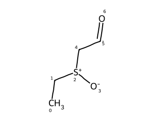 CC[S+]([O-])C[C]=O